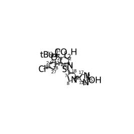 Cc1cc2nc(-c3ccnc(-c4cnc(O)nc4)c3)sc2c(-c2ccc(Cl)cc2)c1C(OC(C)(C)C)C(=O)O